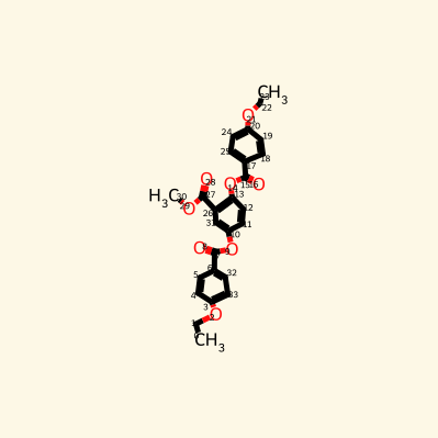 CCOc1ccc(C(=O)Oc2ccc(OC(=O)c3ccc(OCC)cc3)c(C(=O)OC)c2)cc1